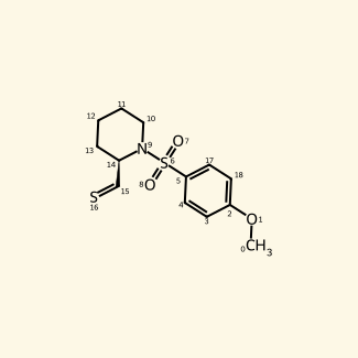 COc1ccc(S(=O)(=O)N2CCCC[C@@H]2C=S)cc1